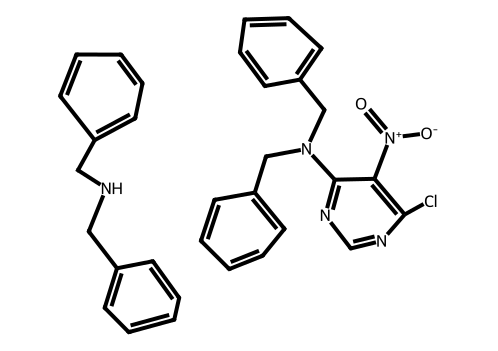 O=[N+]([O-])c1c(Cl)ncnc1N(Cc1ccccc1)Cc1ccccc1.c1ccc(CNCc2ccccc2)cc1